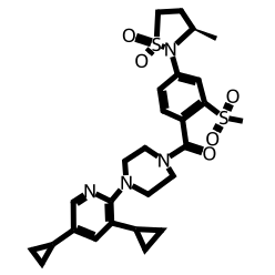 C[C@@H]1CCS(=O)(=O)N1c1ccc(C(=O)N2CCN(c3ncc(C4CC4)cc3C3CC3)CC2)c(S(C)(=O)=O)c1